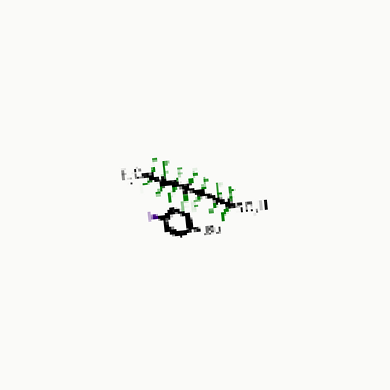 CC(C)(C)c1ccc(I)cc1.O=S(=O)(O)C(F)(F)C(F)(F)C(F)(F)C(F)(F)C(F)(F)C(F)(F)C(F)(F)C(F)(F)F